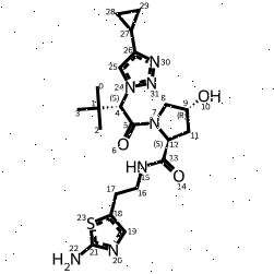 CC(C)(C)[C@@H](C(=O)N1C[C@H](O)C[C@H]1C(=O)NCCc1cnc(N)s1)n1cc(C2CC2)nn1